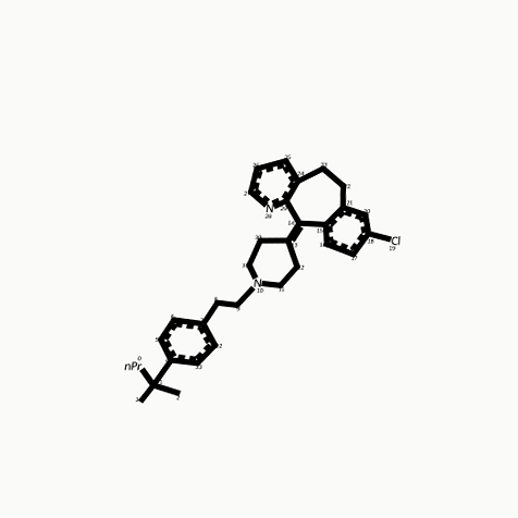 CCCC(C)(C)c1ccc(CCN2CCC(=C3c4ccc(Cl)cc4CCc4cccnc43)CC2)cc1